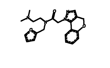 CN(C)CCN(Cc1ccco1)C(=O)Cn1ncc2c1-c1ccccc1OC2